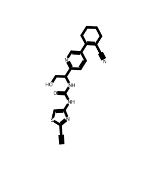 C#Cc1nc(NC(=O)NC(CO)c2ccc(C3=C(C#N)CCCC3)cn2)cs1